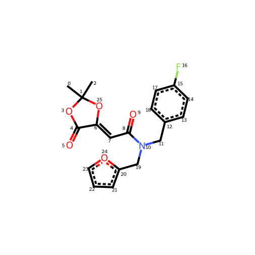 CC1(C)OC(=O)C(=CC(=O)N(Cc2ccc(F)cc2)Cc2ccco2)O1